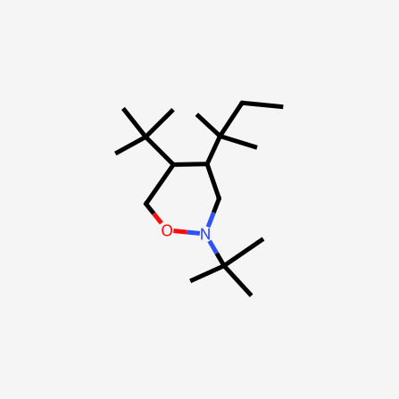 CCC(C)(C)C1CN(C(C)(C)C)OCC1C(C)(C)C